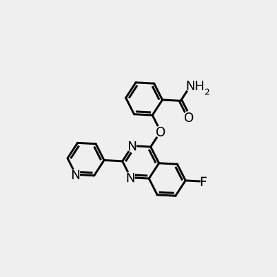 NC(=O)c1ccccc1Oc1nc(-c2cccnc2)nc2ccc(F)cc12